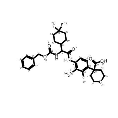 Nc1c(NC(=O)C(NC(=O)OCc2ccccc2)C2CCC(F)(F)CC2)ccc(C2(C(=O)O)CCOCC2)c1F